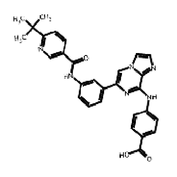 CC(C)(C)c1ccc(C(=O)Nc2cccc(-c3cn4ccnc4c(Nc4ccc(C(=O)O)cc4)n3)c2)cn1